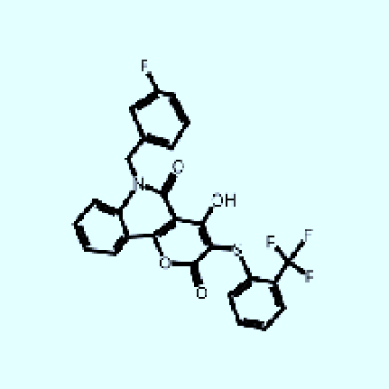 O=c1oc2c(c(O)c1Sc1ccccc1C(F)(F)F)c(=O)n(Cc1cccc(F)c1)c1ccccc21